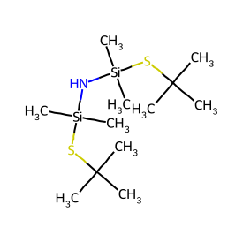 CC(C)(C)S[Si](C)(C)N[Si](C)(C)SC(C)(C)C